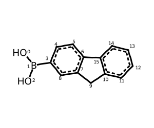 OB(O)c1ccc2c(c1)Cc1ccccc1-2